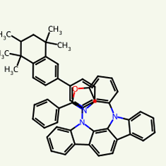 CC1CC(C)(C)c2cc(-c3cccc(-n4c5ccccc5c5ccc6c7ccccc7n(-c7cccc8oc(-c9ccccc9)nc78)c6c54)c3)ccc2C1(C)C